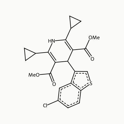 COC(=O)C1=C(C2CC2)NC(C2CC2)=C(C(=O)OC)C1c1csc2ccc(Cl)cc12